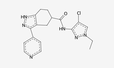 CCn1cc(Cl)c(NC(=O)C2CCc3[nH]nc(-c4ccncc4)c3C2)n1